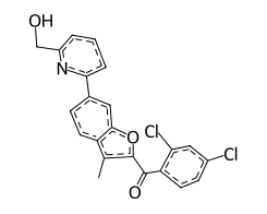 Cc1c(C(=O)c2ccc(Cl)cc2Cl)oc2cc(-c3cccc(CO)n3)ccc12